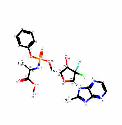 Cc1nc2nccnc2n1[C@@H]1O[C@H](COP(=O)(N[C@H](C)C(=O)OC(C)C)Oc2ccccc2)[C@@H](O)[C@]1(F)Cl